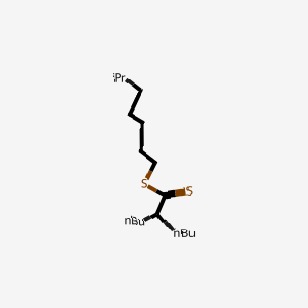 CCCCC(CCCC)C(=S)SCCCCCC(C)C